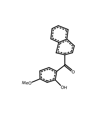 COc1ccc(C(=O)c2ccc3ccccc3c2)c(O)c1